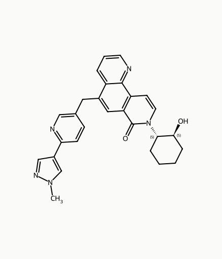 Cn1cc(-c2ccc(Cc3cc4c(=O)n([C@H]5CCCC[C@@H]5O)ccc4c4ncccc34)cn2)cn1